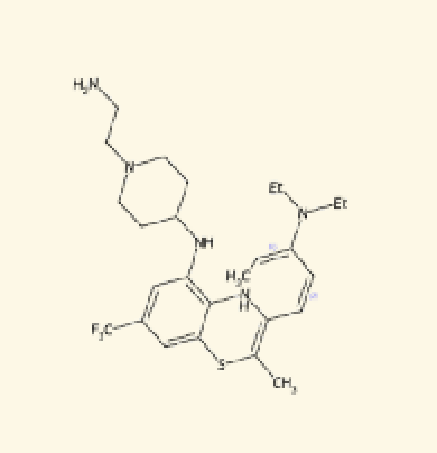 C/C=C(\C=C/C1=C(C)Sc2cc(C(F)(F)F)cc(NC3CCN(CCN)CC3)c2N1)N(CC)CC